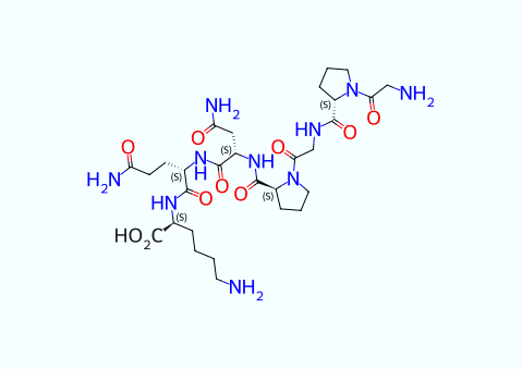 NCCCC[C@H](NC(=O)[C@H](CCC(N)=O)NC(=O)[C@H](CC(N)=O)NC(=O)[C@@H]1CCCN1C(=O)CNC(=O)[C@@H]1CCCN1C(=O)CN)C(=O)O